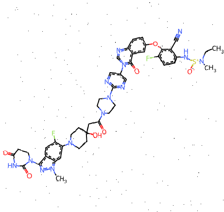 CCN(C)[S+]([O-])Nc1ccc(F)c(Oc2ccc3ncn(-c4cnc(N5CCN(C(=O)CC6(O)CCN(c7cc8c(cc7F)c(N7CCC(=O)NC7=O)nn8C)CC6)CC5)nc4)c(=O)c3c2)c1C#N